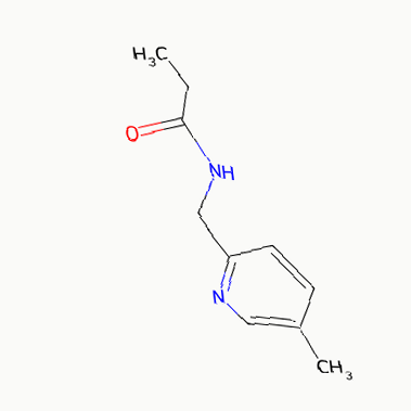 CCC(=O)NCc1ccc(C)cn1